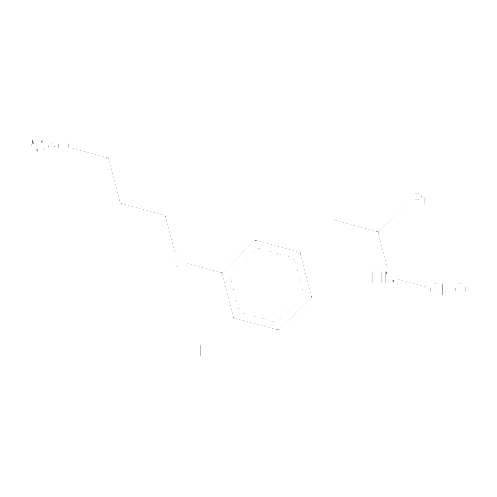 COCCCOc1cc(CC(NC=O)C(C)C)ccc1I